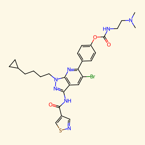 CN(C)CCNC(=O)Oc1ccc(-c2nc3c(cc2Br)c(NC(=O)c2cnsc2)nn3CCCCC2CC2)cc1